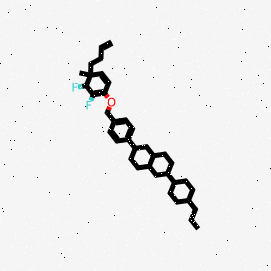 C=CCCC1(C)C=CC(OCc2ccc(C3CCC4CC(C5CCC(CCC)CC5)CCC4C3)cc2)=C(F)C1F